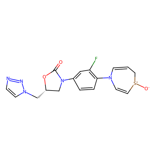 O=C1O[C@@H](Cn2ccnn2)CN1c1ccc(N2C=CC[S+]([O-])C=C2)c(F)c1